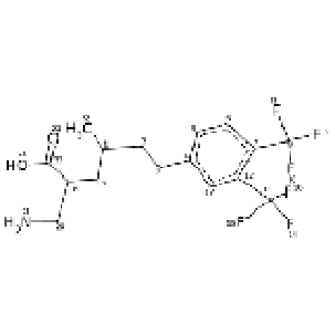 CC(CCc1ccc(C(F)(F)F)c(C(F)(F)F)c1)CC(CN)C(=O)O